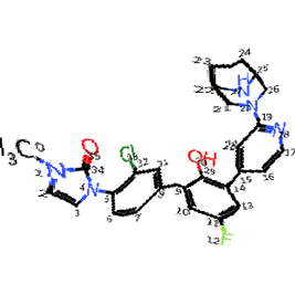 Cn1ccn(-c2ccc(-c3cc(F)cc(-c4ccnc(N5CC6CCC(C5)N6)c4)c3O)cc2Cl)c1=O